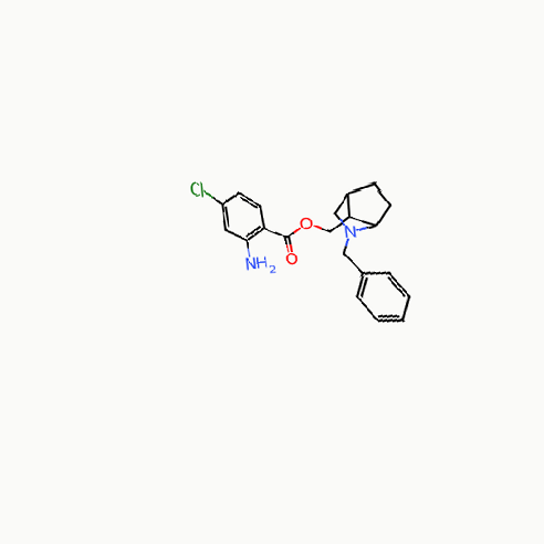 Nc1cc(Cl)ccc1C(=O)OCC1C2CCC1N(Cc1ccccc1)C2